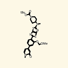 COCOc1cc(-c2ccn(C)c(=O)c2)ccc1-c1nc2sc(N(C)C3CCN(C(=O)OC(C)(C)C)CC3)nc2s1